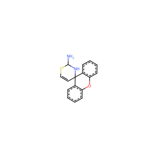 NC1NC2(C=CS1)c1ccccc1Oc1ccccc12